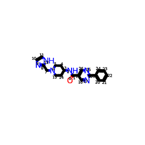 O=C(NC1CCN(Cc2ncc[nH]2)CC1)c1cnc(-c2ccccc2)nc1